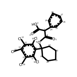 O=C(O)C(C(=O)OC1(c2c(Cl)c(Cl)c(Cl)c(Cl)c2Cl)CCCCC1)c1ccccc1